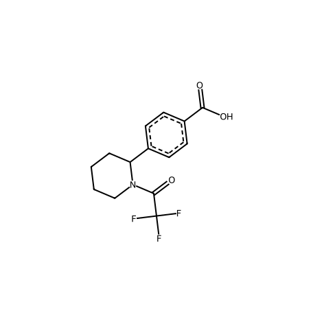 O=C(O)c1ccc(C2CCCCN2C(=O)C(F)(F)F)cc1